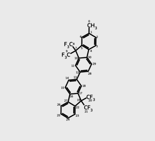 Cc1ccc2c(c1)C(C(F)(F)F)(C(F)(F)F)c1cc(-c3ccc4c(c3)C(C(F)(F)F)(C(F)(F)F)c3ccccc3-4)ccc1-2